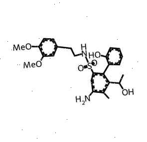 COc1ccc(CCNS(=O)(=O)c2cc(N)c(C)c(C(C)O)c2-c2ccccc2O)cc1OC